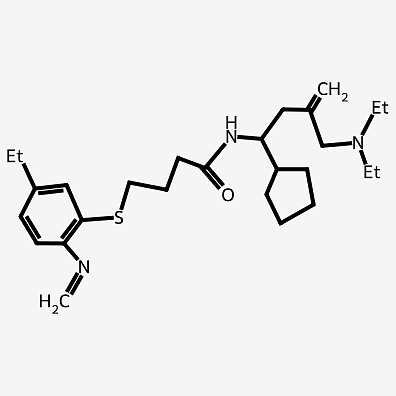 C=Nc1ccc(CC)cc1SCCCC(=O)NC(CC(=C)CN(CC)CC)C1CCCC1